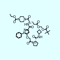 CCOC(=O)N1CCN(C(=O)[C@H](CCC(=O)OCOC(=O)C(C)(C)C)NC(=O)c2cc(OCC(=O)N3CCC[C@H]3C(=O)NC3CCC3)n(-c3ccccc3)n2)CC1